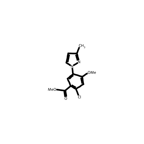 COC(=O)c1cc(-n2ccc(C)n2)c(OC)cc1Cl